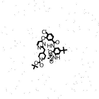 COc1c(NC(=O)c2ccc(Cl)c(Oc3ccnc(CC4CCN(C(=O)OC(C)(C)C)CC4)n3)c2)cc(C(C)(C)C)cc1NS(C)(=O)=O